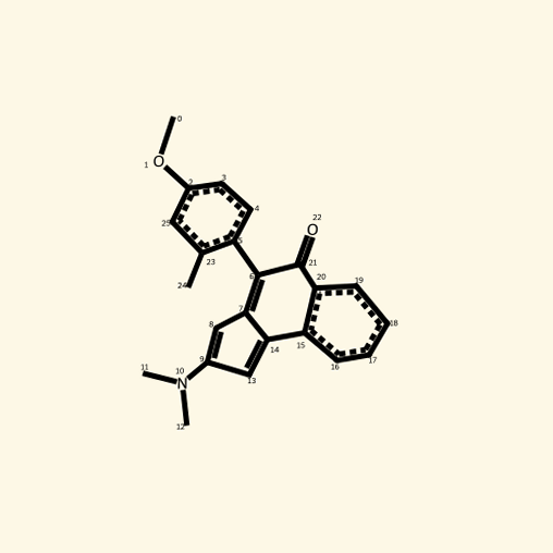 COc1ccc(C2=C3C=C(N(C)C)C=C3c3ccccc3C2=O)c(C)c1